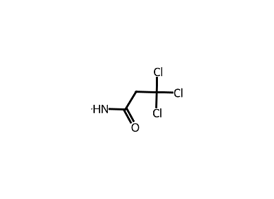 [NH]C(=O)CC(Cl)(Cl)Cl